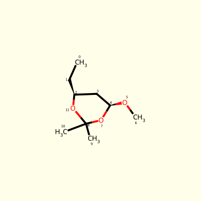 CC[C@H]1C[C@@H](OC)OC(C)(C)O1